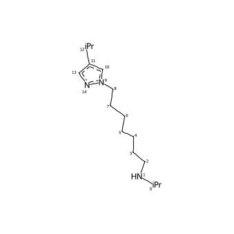 CC(C)NCCCCCCCn1cc(C(C)C)cn1